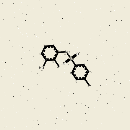 Cc1ccc(S(=O)(=O)Nc2cccc(O)c2C)cc1